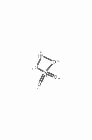 O=S1(=O)[O][Hf][O]1